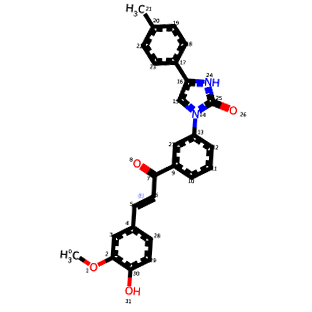 COc1cc(/C=C/C(=O)c2cccc(-n3cc(-c4ccc(C)cc4)[nH]c3=O)c2)ccc1O